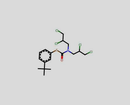 CC(C)(C)c1cccc(SC(=O)N(CC(Cl)CCl)CC(Cl)CCl)c1